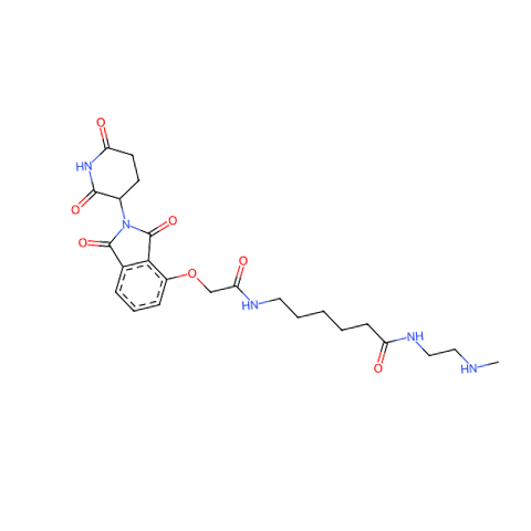 CNCCNC(=O)CCCCCNC(=O)COc1cccc2c1C(=O)N(C1CCC(=O)NC1=O)C2=O